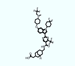 CN(CC(F)(F)F)[C@H]1CC[C@@H](Oc2ccc3c(-c4ncc(C(=O)NCC5CC6CC(CC(=O)O)C[C@@H](C5)C6)c(C(F)(F)F)n4)cn(C4CCC(F)(F)CC4)c3c2)CC1